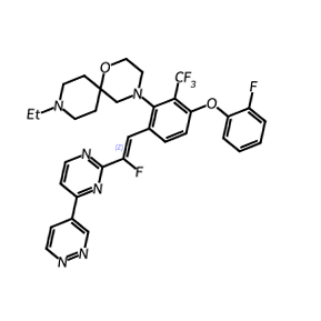 CCN1CCC2(CC1)CN(c1c(/C=C(\F)c3nccc(-c4ccnnc4)n3)ccc(Oc3ccccc3F)c1C(F)(F)F)CCO2